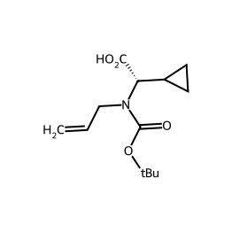 C=CCN(C(=O)OC(C)(C)C)[C@H](C(=O)O)C1CC1